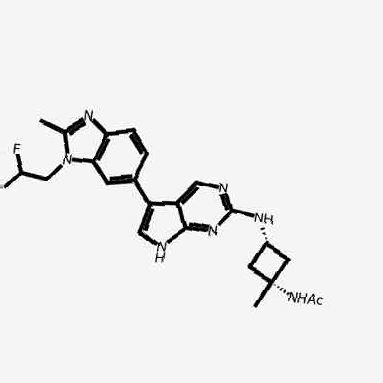 CC(=O)N[C@]1(C)C[C@H](Nc2ncc3c(-c4ccc5nc(C)n(CC(F)F)c5c4)c[nH]c3n2)C1